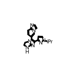 CC(C)n1ccc(-c2nc3n(c2-c2ccc4nccn4c2)CCN3)n1